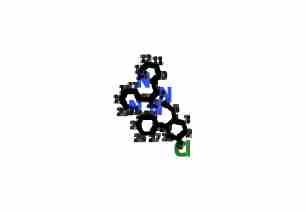 ClC1=CC=C2Cc3nc(-c4ccccn4)c(-c4ccccn4)n3C3=CCCC=C3C2C1